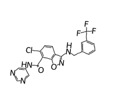 O=C(Nc1cncnc1)c1c(Cl)ccc2c(NCc3cccc(C(F)(F)F)c3)noc12